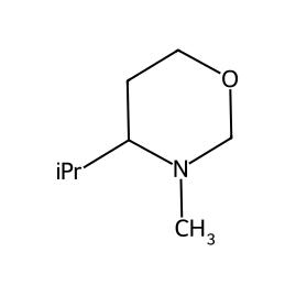 CC(C)C1CCOCN1C